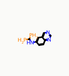 PC(P)Nc1ccc2ncncc2c1